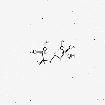 C=C(CCCP(=O)(O)OC)C(=O)OC